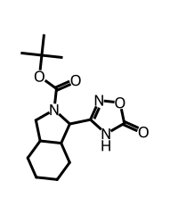 CC(C)(C)OC(=O)N1CC2CCCCC2C1c1noc(=O)[nH]1